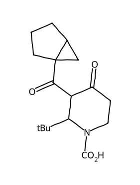 CC(C)(C)C1C(C(=O)C23CCCC2C3)C(=O)CCN1C(=O)O